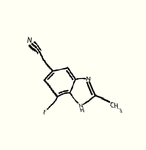 Cc1nc2cc(C#N)cc(F)c2[nH]1